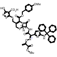 C=C(O/N=C(\C(=O)N[C@@H]1C(=O)N2C(C(=O)OCc3ccc(OC)cc3)=C(CSc3snc(O)c3C(=O)O)CS[C@@H]12)c1csc(NC(c2ccccc2)(c2ccccc2)c2ccccc2)n1)C(=O)OC(C)(C)C